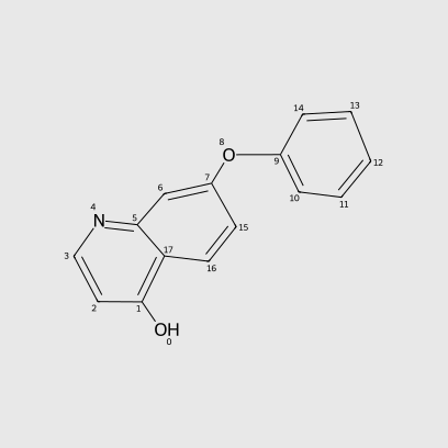 Oc1ccnc2cc(Oc3ccccc3)ccc12